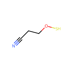 N#CCCOS